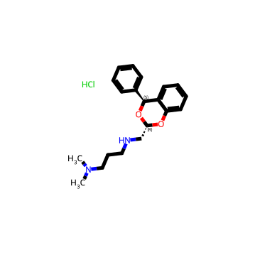 CN(C)CCCNC[C@H]1Oc2ccccc2[C@H](c2ccccc2)O1.Cl